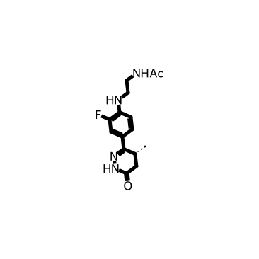 CC(=O)NCCNc1ccc(C2=NNC(=O)C[C@H]2C)cc1F